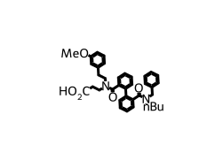 CCCCN(Cc1ccccc1)C(=O)c1ccccc1-c1ccccc1C(=O)N(CCC(=O)O)CCc1cccc(OC)c1